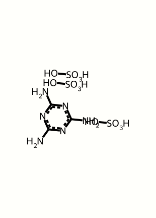 Nc1nc(N)nc(N)n1.O=S(=O)(O)O.O=S(=O)(O)O.O=S(=O)(O)O